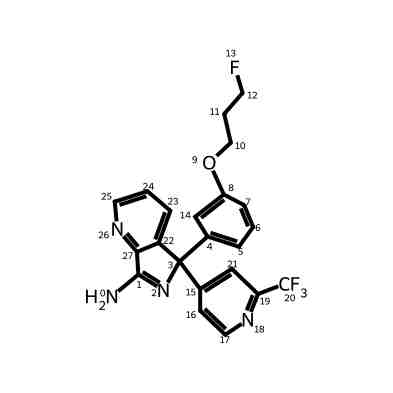 NC1=NC(c2cccc(OCCCF)c2)(c2ccnc(C(F)(F)F)c2)c2cccnc21